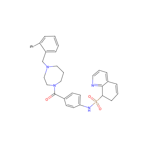 CC(C)c1ccccc1CN1CCCN(C(=O)c2ccc(NS(=O)(=O)C3CC=Cc4cccnc43)cc2)CC1